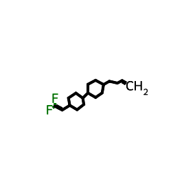 C=CCCC1CCC(C2CCC(C=C(F)F)CC2)CC1